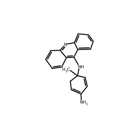 CC1(Nc2c3ccccc3nc3ccccc23)C=CC(N)=CC1